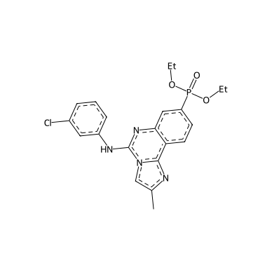 CCOP(=O)(OCC)c1ccc2c(c1)nc(Nc1cccc(Cl)c1)n1cc(C)nc21